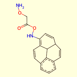 NOCC(=O)ONC1=C2C=Cc3cccc4c3C2C(C=C1)C=C4